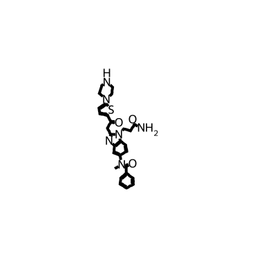 CN(C(=O)c1ccccc1)c1ccc2c(c1)nc(CC(=O)c1ccc(N3CCNCC3)s1)n2CCC(N)=O